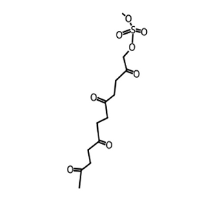 COS(=O)(=O)OCC(=O)CCC(=O)CCC(=O)CCC(C)=O